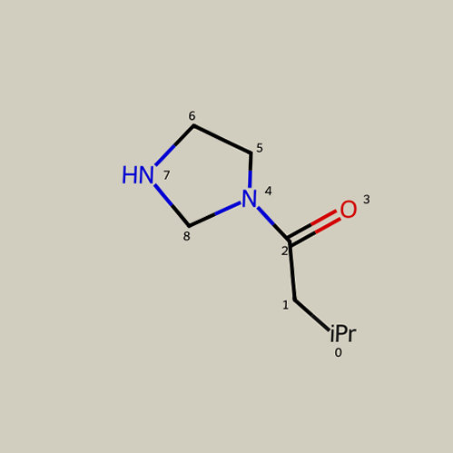 CC(C)CC(=O)N1CCNC1